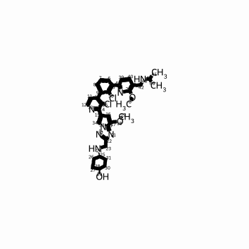 COc1nc(-c2cccc(-c3ccnc(-c4cc(OC)c5nc(CN[C@H]6CC[C@H](O)CC6)nn5c4)c3Cl)c2Cl)ccc1CNC(C)C